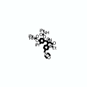 CCNC(=O)c1noc(-c2cc(C(C)C)c(OC(=O)NC(C)C)cc2OC(=O)NC(C)C)c1-c1ccc(CN2CCOCC2)cc1